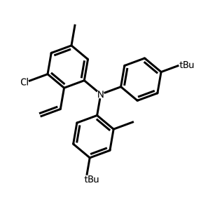 C=Cc1c(Cl)cc(C)cc1N(c1ccc(C(C)(C)C)cc1)c1ccc(C(C)(C)C)cc1C